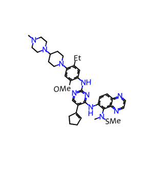 CCc1cc(Nc2ncc(C3=CCCC3)c(Nc3ccc4nccnc4c3N(C)SC)n2)c(OC)cc1N1CCC(N2CCN(C)CC2)CC1